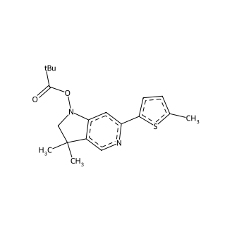 Cc1ccc(-c2cc3c(cn2)C(C)(C)CN3OC(=O)C(C)(C)C)s1